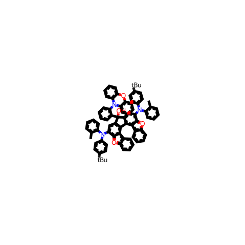 Cc1ccccc1N(c1ccc(C(C)(C)C)cc1)c1cc2c(c3c1oc1ccccc13)-c1c(cc(N(c3ccc(C(C)(C)C)cc3)c3ccccc3C)c3oc4ccccc4c13)C2(O)c1ccccc1N1c2ccccc2Oc2ccccc21